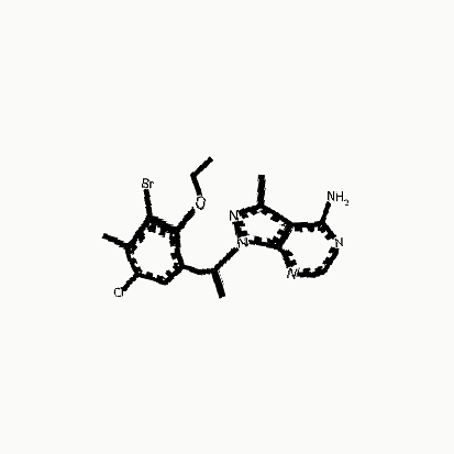 CCOc1c(C(C)n2nc(C)c3c(N)ncnc32)cc(Cl)c(C)c1Br